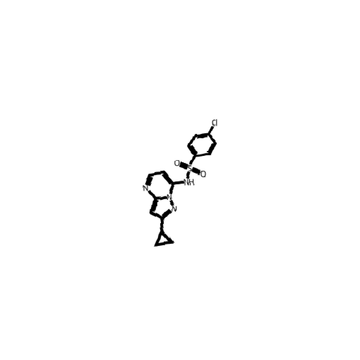 O=S(=O)(Nc1ccnc2cc(C3CC3)nn12)c1ccc(Cl)cc1